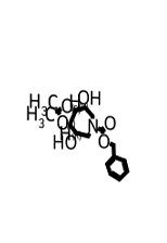 CC1(C)O[C@@H]2[C@H](O1)[C@H](O)CN(C(=O)OCc1ccccc1)C[C@H]2O